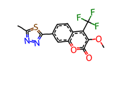 COc1c(C(F)(F)F)c2ccc(-c3nnc(C)s3)cc2oc1=O